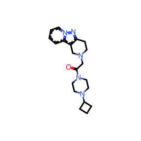 O=C(CN1CCc2nn3ccccc3c2C1)N1CCN(C2CCC2)CC1